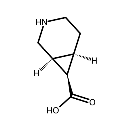 O=C(O)[C@@H]1[C@@H]2CCNC[C@@H]21